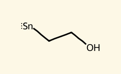 OC[CH2][Sn]